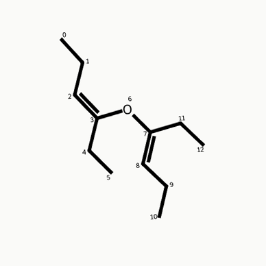 CCC=C(CC)OC(=CCC)CC